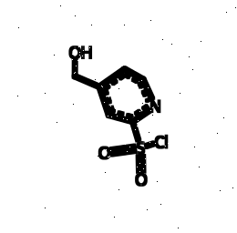 O=S(=O)(Cl)c1cc(CO)ccn1